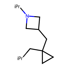 CC(C)CC1(CC2CN(C(C)C)C2)CC1